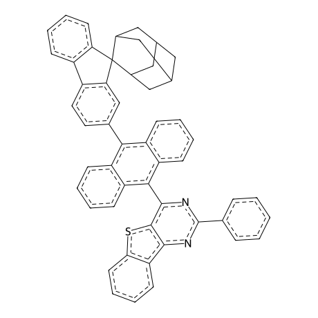 c1ccc(-c2nc(-c3c4ccccc4c(-c4ccc5c(c4)C4(c6ccccc6-5)C5CC6CC(C5)CC4C6)c4ccccc34)c3sc4ccccc4c3n2)cc1